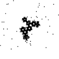 CC(C)(c1cc(-c2cccc(-c3sc(-c4cncs4)nc3-c3ccc(S(C)(=O)=O)cc3)c2)c2ncccc2c1)S(C)(=O)=O